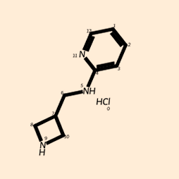 Cl.c1ccc(NCC2CNC2)nc1